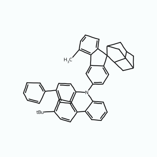 Cc1cccc2c1-c1cc(N(c3ccc(-c4ccccc4)cc3)c3ccccc3-c3ccc(C(C)(C)C)cc3)ccc1C21C2CC3CC(C2)CC1C3